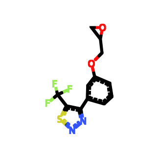 FC(F)(F)c1snnc1-c1cccc(OCC2CO2)c1